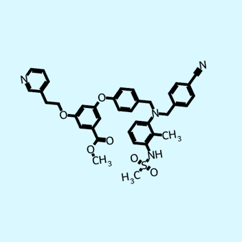 COC(=O)c1cc(OCCc2cccnc2)cc(Oc2ccc(CN(Cc3ccc(C#N)cc3)c3cccc(NS(C)(=O)=O)c3C)cc2)c1